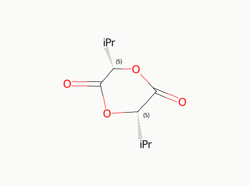 CC(C)[C@@H]1OC(=O)[C@H](C(C)C)OC1=O